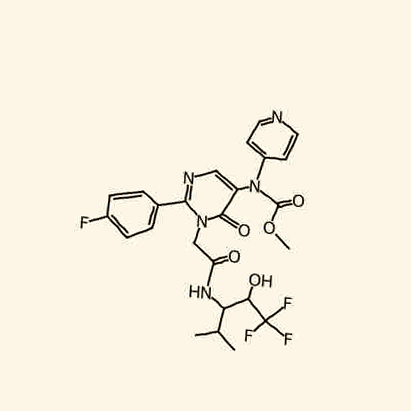 COC(=O)N(c1ccncc1)c1cnc(-c2ccc(F)cc2)n(CC(=O)NC(C(C)C)C(O)C(F)(F)F)c1=O